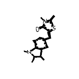 C=c1s/c(=C/c2ccc3c(c2)C(C)C(C)N3C)c(=O)n1C